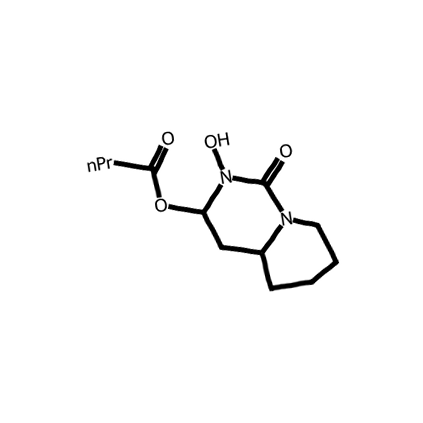 CCCC(=O)OC1CC2CCCCN2C(=O)N1O